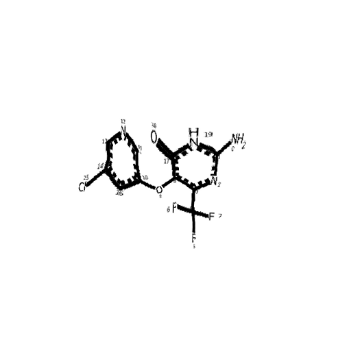 Nc1nc(C(F)(F)F)c(Oc2cncc(Cl)c2)c(=O)[nH]1